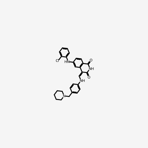 O=C1NC(=O)c2ccc(Nc3ccccc3Cl)cc2/C1=C/Nc1ccc(CN2CCCCC2)cc1